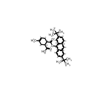 CC1=CCC(C(=O)Oc2c3ccc(C(C)(C)C)cc3cc3ccc(C(C)(C)C)cc23)C(C(=O)O)C1